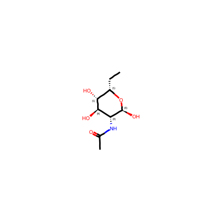 CC[C@@H]1O[C@@H](O)[C@H](NC(C)=O)[C@@H](O)[C@@H]1O